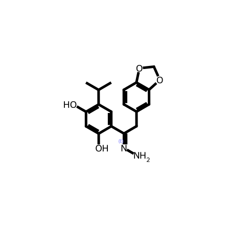 CC(C)c1cc(/C(Cc2ccc3c(c2)OCO3)=N/N)c(O)cc1O